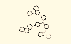 C1=CC2c3ccccc3N(c3cccc(N(c4ccc(-c5ccc6c(ccc7ccccc76)c5)cc4)c4cccc(-c5cc6c7c(cccc7c5)-c5ccccc5-6)c4)c3)C2C=C1